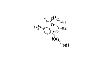 C=CC(=O)OCC(O)CC.N=C=O.N=C=O.Nc1ccc(CO)cc1